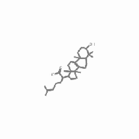 CC(C)=CCCC(C(=O)O)C1CCC2(C)C3=C(CCC12C)C1(C)CCC(O)C(C)(C)C1CC3